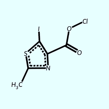 Cc1nc(C(=O)OCl)c(I)s1